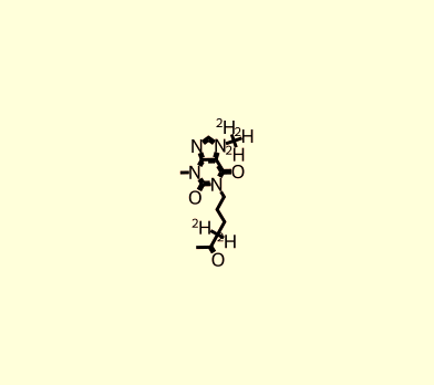 [2H]C([2H])(CCCn1c(=O)c2c(ncn2C([2H])([2H])[2H])n(C)c1=O)C(C)=O